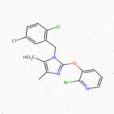 Cc1nc(Oc2cccnc2Br)n(Cc2cc(Cl)ccc2Cl)c1C(=O)O